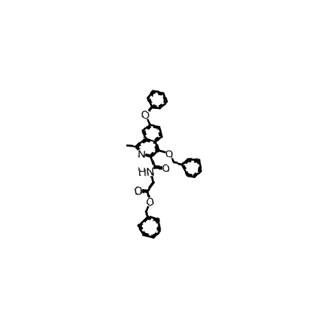 Cc1nc(C(=O)NCC(=O)OCc2ccccc2)c(OCc2ccccc2)c2ccc(Oc3ccccc3)cc12